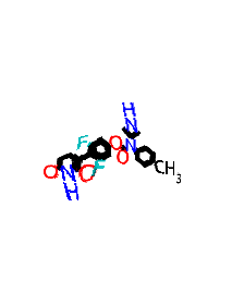 CC1CCC(N(C(=O)Oc2cc(F)c(C3CCC(=O)NC3=O)c(F)c2)C2CNC2)CC1